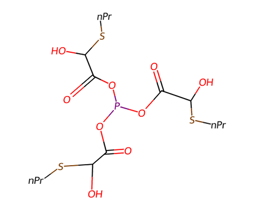 CCCSC(O)C(=O)OP(OC(=O)C(O)SCCC)OC(=O)C(O)SCCC